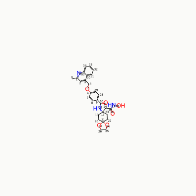 Cc1cc(COc2ccc(C(=O)NC3(CC(=O)NO)CCC4(CC3)OCCO4)cc2)c2ccccc2n1